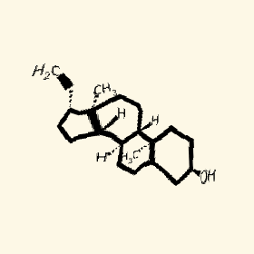 C=C[C@H]1CC[C@H]2[C@@H]3CCC4C[C@H](O)CC[C@]4(C)[C@H]3CC[C@]12C